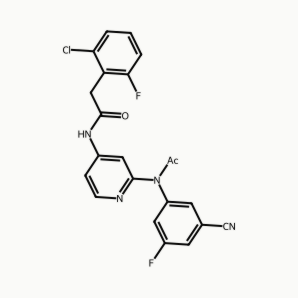 CC(=O)N(c1cc(F)cc(C#N)c1)c1cc(NC(=O)Cc2c(F)cccc2Cl)ccn1